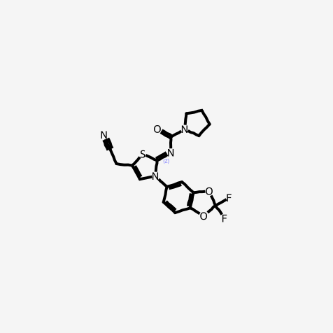 N#CCc1cn(-c2ccc3c(c2)OC(F)(F)O3)/c(=N/C(=O)N2CCCC2)s1